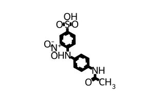 CC(=O)Nc1ccc(Nc2ccc(S(=O)(=O)O)cc2[N+](=O)[O-])cc1